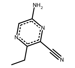 CCc1ncc(N)nc1C#N